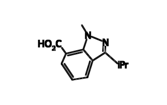 CC(C)c1nn(C)c2c(C(=O)O)cccc12